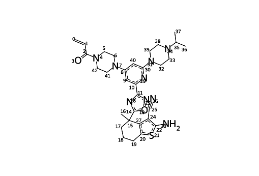 C=CC(=O)N1CCN(c2cc(-c3noc(C4(C)CCCc5sc(N)c(C#N)c54)n3)nc(N3CCN(C(C)C)CC3)c2)CC1